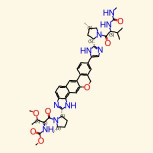 CNC(=O)N[C@H](C(=O)N1C[C@@H](C)C[C@H]1c1ncc(-c2ccc3c(c2)COc2cc4c(ccc5nc([C@@H]6CC[C@H](C)N6C(=O)[C@@H](NC(=O)OC)[C@@H](C)OC)[nH]c54)cc2-3)[nH]1)C(C)C